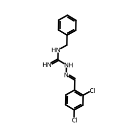 N=C(NCc1ccccc1)NN=Cc1ccc(Cl)cc1Cl